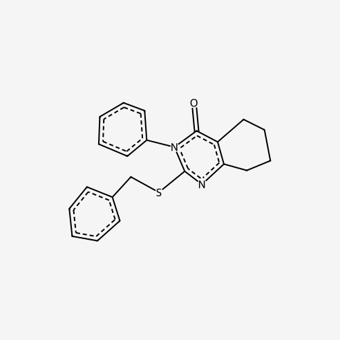 O=c1c2c(nc(SCc3ccccc3)n1-c1ccccc1)CCCC2